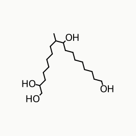 CC(CCCCCCC(O)CO)C(O)CCCCCCCCO